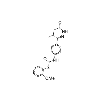 COc1ccccc1SC(=O)Nc1ccc(C2=NNC(=O)CC2C)cc1